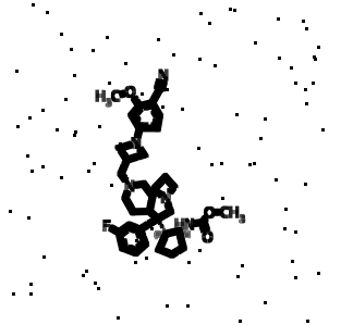 COC(=O)N[C@H]1CCC[C@@H]1C(CN1CCC1)(c1cccc(F)c1)C1CCN(CC2CN(c3ccc(C#N)c(OC)c3)C2)CC1